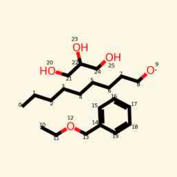 CCCCCCCCC[O].CCOCc1ccccc1.OCC(O)CO